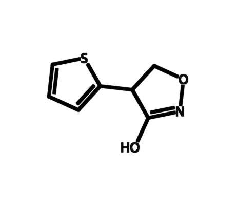 OC1=NOCC1c1cccs1